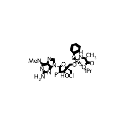 CNc1nc(N)nc2c1ncn2[C@@H]1O[C@](CCl)(COP(=S)(N[C@H](C)C(=O)OC(C)C)Oc2ccccc2)[C@@H](O)[C@@H]1F